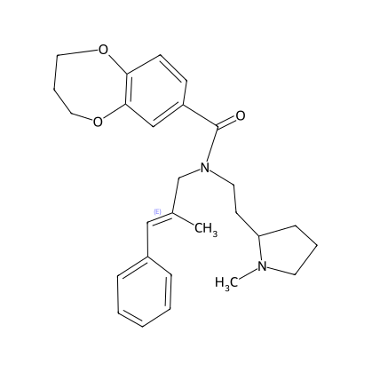 C/C(=C\c1ccccc1)CN(CCC1CCCN1C)C(=O)c1ccc2c(c1)OCCCO2